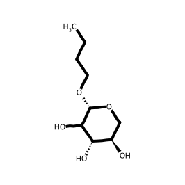 CCCCO[C@@H]1OC[C@@H](O)[C@H](O)C1O